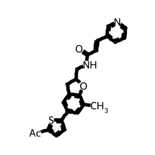 CC(=O)c1ccc(-c2cc(C)c3c(c2)CC(CNC(=O)C=Cc2cccnc2)O3)s1